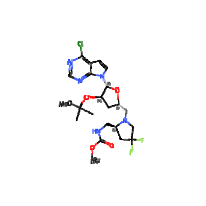 COC(C)(C)O[C@@H]1C[C@@H](CN2CC(F)(F)C[C@H]2CNC(=O)OC(C)(C)C)O[C@H]1n1ccc2c(Cl)ncnc21